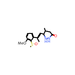 COc1cccc(/C(C)=C/C2NNC(=O)CC2C)c1[S+](C)[O-]